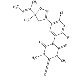 C/N=C(\C)C1(C)CC(c2cc(N3C(=O)N(C)C(=C=O)N(C)C3=O)c(F)cc2Cl)=NO1